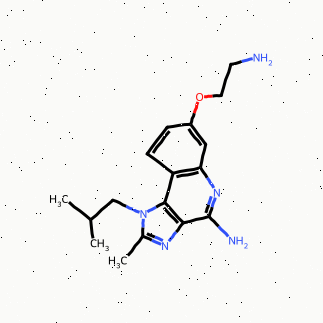 Cc1nc2c(N)nc3cc(OCCN)ccc3c2n1CC(C)C